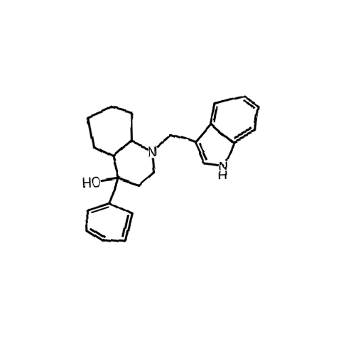 OC1(c2ccccc2)CCN(Cc2c[nH]c3ccccc23)C2CCCCC21